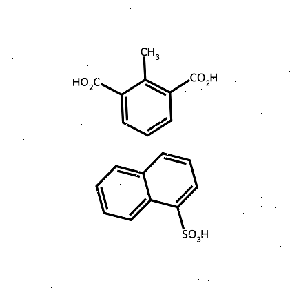 Cc1c(C(=O)O)cccc1C(=O)O.O=S(=O)(O)c1cccc2ccccc12